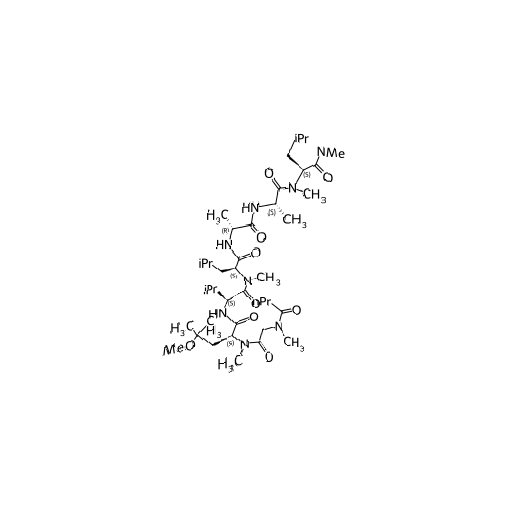 CCCC(=O)N(C)CC(=O)N(C)[C@@H](CC(C)(C)OC)C(=O)N[C@H](C(=O)N(C)[C@@H](CC(C)C)C(=O)N[C@H](C)C(=O)N[C@@H](C)C(=O)N(C)[C@@H](CC(C)C)C(=O)NC)C(C)C